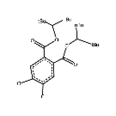 CCCCC(OC(=O)c1cc(Cl)c(Cl)cc1C(=O)OC(CCCC)C(C)(C)C)C(C)(C)C